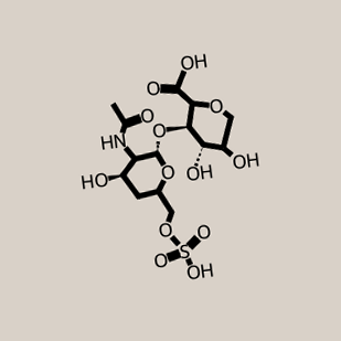 CC(=O)NC1[C@H](O[C@H]2C(C(=O)O)OCC(O)[C@@H]2O)OC(COS(=O)(=O)O)C[C@H]1O